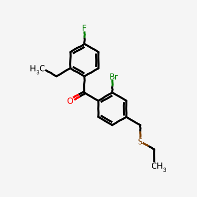 CCSCc1ccc(C(=O)c2ccc(F)cc2CC)c(Br)c1